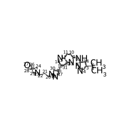 CC(C)c1cnnc(Nc2ccc3ncc(-c4cnn(CCCN5CC6(COC6)C5)c4)cc3n2)c1